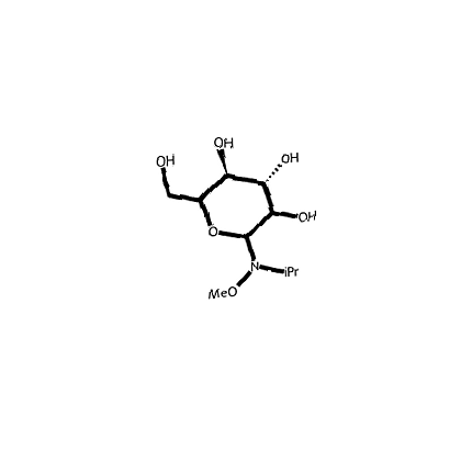 CON(C(C)C)C1OC(CO)[C@@H](O)[C@H](O)C1O